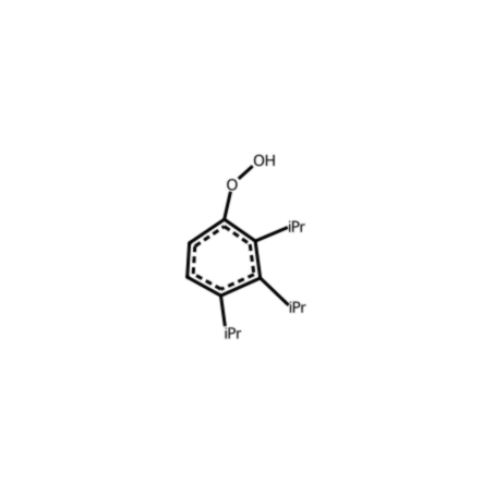 CC(C)c1ccc(OO)c(C(C)C)c1C(C)C